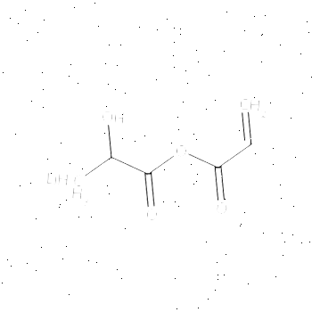 C=CC(=O)OC(=O)C(C)O.[LiH]